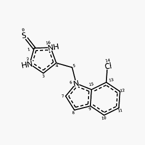 S=c1[nH]cc(Cn2ccc3cccc(Cl)c32)[nH]1